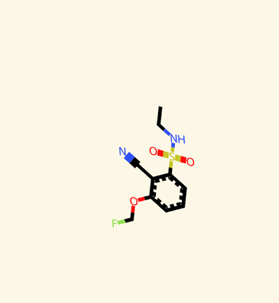 CCNS(=O)(=O)c1cccc(OCF)c1C#N